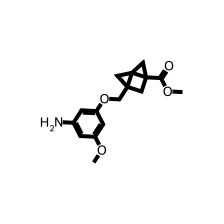 COC(=O)C12CC3(COc4cc(N)cc(OC)c4)CC31C2